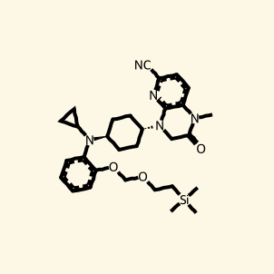 CN1C(=O)CN([C@H]2CC[C@H](N(c3ccccc3OCOCC[Si](C)(C)C)C3CC3)CC2)c2nc(C#N)ccc21